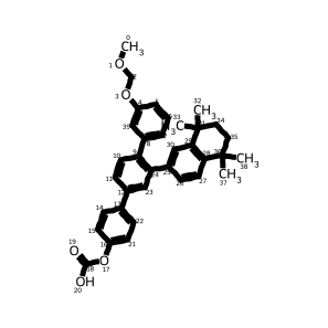 COCOc1cccc(-c2ccc(-c3ccc(OC(=O)O)cc3)cc2-c2ccc3c(c2)C(C)(C)CCC3(C)C)c1